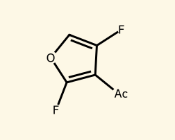 CC(=O)c1c(F)coc1F